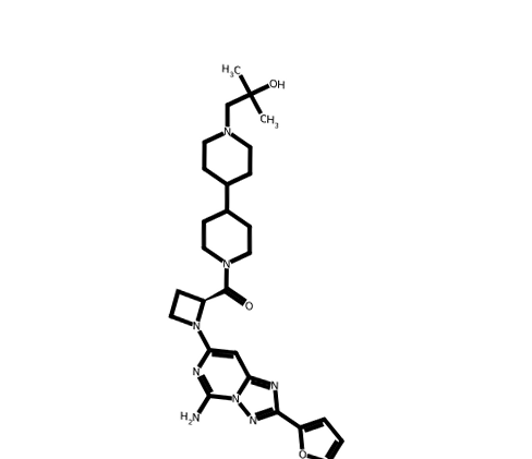 CC(C)(O)CN1CCC(C2CCN(C(=O)[C@@H]3CCN3c3cc4nc(-c5ccco5)nn4c(N)n3)CC2)CC1